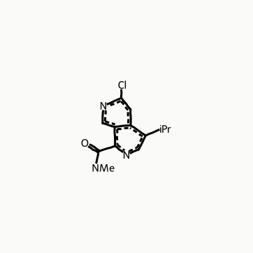 CNC(=O)c1ncc(C(C)C)c2cc(Cl)ncc12